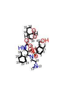 Cc1ccc(S(=O)(=O)N(CCN(C)C)C[C@@H](O)[C@H](Cc2ccccc2)NC(=O)O[C@@H]2CO[C@@H]3OCCC[C@@H]32)cc1CO